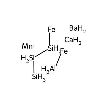 [AlH2][Fe].[BaH2].[CaH2].[Mn].[SiH3][SiH2][SiH2][Fe]